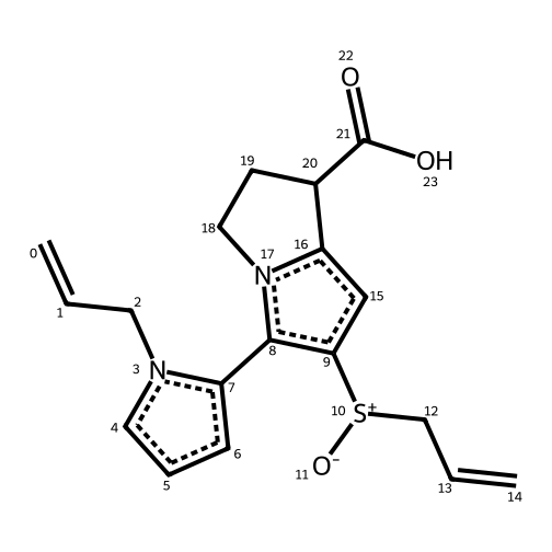 C=CCn1cccc1-c1c([S+]([O-])CC=C)cc2n1CCC2C(=O)O